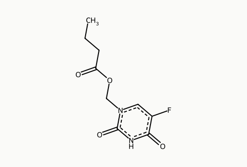 CCCC(=O)OCn1cc(F)c(=O)[nH]c1=O